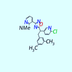 CNc1ncccc1-c1noc(C(Cc2cc(C)cc(C)c2)c2ccc(Cl)nc2)n1